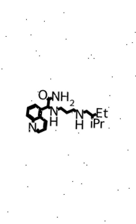 CCC(CNCCCNC(C(N)=O)c1cccc2ncccc12)C(C)C